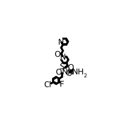 NC(=O)Oc1c(NC(=O)Cc2ccc(Cl)cc2F)sc2c1CCN(C(=O)CCc1ccccn1)C2